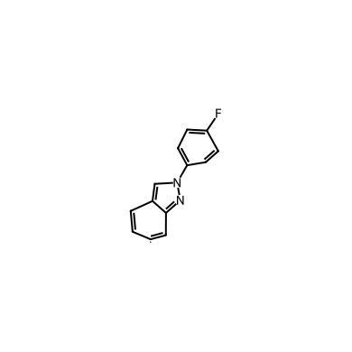 Fc1ccc(-n2cc3cc[c]cc3n2)cc1